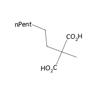 CCCCCCCC(C)(C(=O)O)C(=O)O